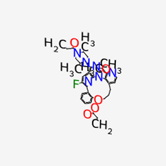 C=CC(=O)Oc1cccc2c1OCCCc1ccnc(C(C)C)c1-n1c(=O)nc(N3C[C@@H](C)N(C(=O)C=C)C[C@@H]3C)c3cc(F)c-2nc31